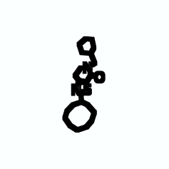 O=C1c2sc(C3CCCCCCCCC3)nc2CCN1CC1CCCCC1